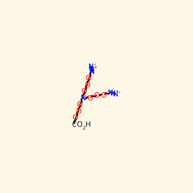 [N-]=[N+]=NCCOCCOCCOCCN(CCOCCOCCOCCN=[N+]=[N-])CCOCCOCCOCCC(=O)O